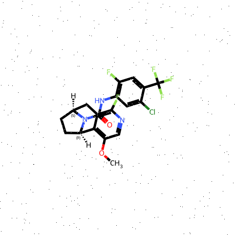 COc1cnc(F)c2c1[C@H]1CC[C@@H](C2)N1C(=O)Nc1cc(Cl)c(C(F)(F)F)cc1F